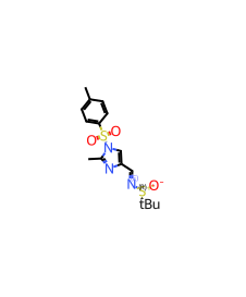 Cc1ccc(S(=O)(=O)n2cc(/C=N/[S@@+]([O-])C(C)(C)C)nc2C)cc1